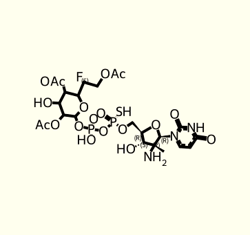 CC(=O)OC[C@H](F)C1OC(OP(=O)(O)OP(=O)(S)OC[C@H]2O[C@@H](n3ccc(=O)[nH]c3=O)[C@](C)(N)[C@@H]2O)C(OC(C)=O)C(O)C1OC(C)=O